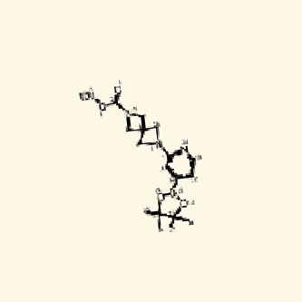 CC(C)(C)OC(=O)N1CC2(C1)CN(c1cc(B3OC(C)(C)C(C)(C)O3)ccn1)C2